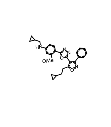 COc1cc(NCC2CC2)ccc1-c1nnc(-c2c(-c3ccccc3)noc2CCC2CC2)o1